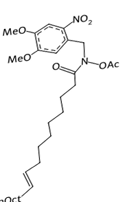 CCCCCCCCC=CCCCCCCCC(=O)N(Cc1cc(OC)c(OC)cc1[N+](=O)[O-])OC(C)=O